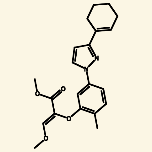 CO/C=C(\Oc1cc(-n2ccc(C3=CCCCC3)n2)ccc1C)C(=O)OC